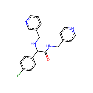 O=C(NCc1ccncc1)C(NCc1cccnc1)c1ccc(F)cc1